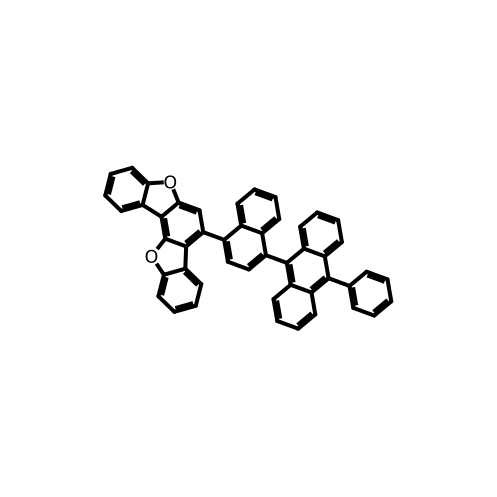 c1ccc(-c2c3ccccc3c(-c3ccc(-c4cc5oc6ccccc6c5c5oc6ccccc6c45)c4ccccc34)c3ccccc23)cc1